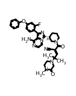 CN1CCN(C(C)(C)C=C(C#N)C(=O)N2CCC[C@@H](c3nc(-c4ccc(Oc5ccccc5)cc4F)c4c(N)nccn34)C2)CC1=O